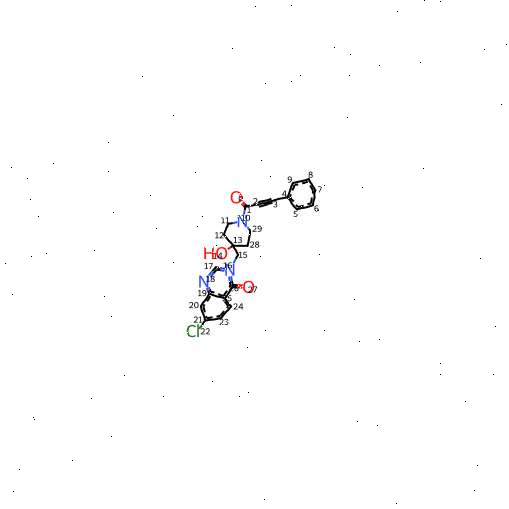 O=C(C#Cc1ccccc1)N1CCC(O)(Cn2cnc3cc(Cl)ccc3c2=O)CC1